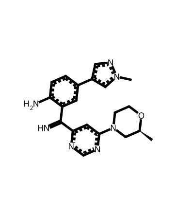 C[C@H]1CN(c2cc(C(=N)c3cc(-c4cnn(C)c4)ccc3N)ncn2)CCO1